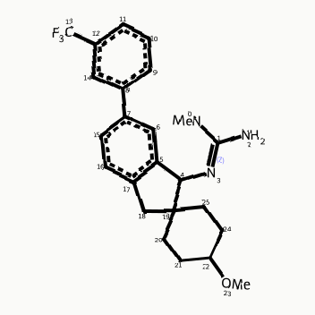 CN/C(N)=N\C1c2cc(-c3cccc(C(F)(F)F)c3)ccc2CC12CCC(OC)CC2